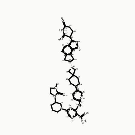 CN1CCN(C2CCCN(c3cnc(C(N)=O)c(Nc4ccc(C5CCC6(CC5)CN([C@@H]5Cc7ccc8c(C9CCC(=O)NC9=O)noc8c7C5)C6)cc4)n3)C2)C1=O